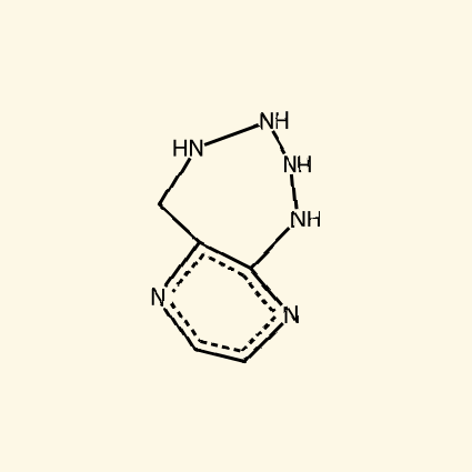 c1cnc2c(n1)CNNNN2